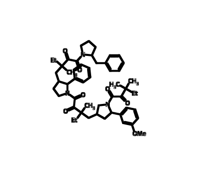 CCC(C)(C)C(=O)C(=O)N1CC(CC(C)(CC)C(=O)C(=O)N2CCC(CC(C)(CC)C(=O)C(=O)N3CCCC3Cc3ccccc3)C2c2ccccc2)CC1c1cccc(OC)c1